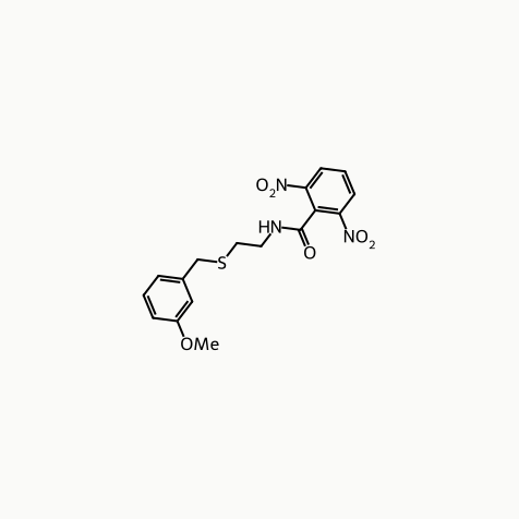 COc1cccc(CSCCNC(=O)c2c([N+](=O)[O-])cccc2[N+](=O)[O-])c1